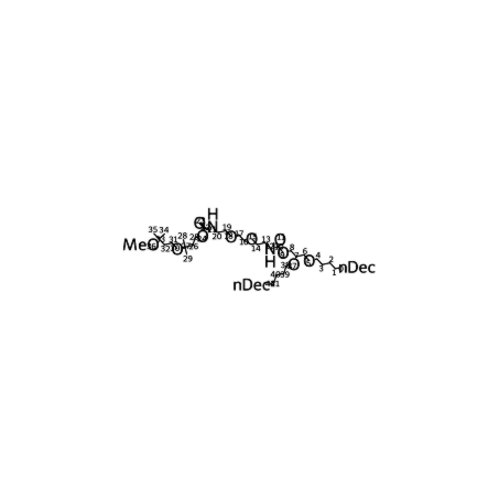 CCCCCCCCCCCCCCOCC(COC(=O)NCCOCCOCCNC(=O)OCCC(C)(C)OCCC(C)(C)OC)OCCCCCCCCCCCCCC